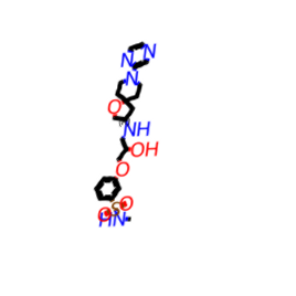 CNS(=O)(=O)c1cccc(OCC(O)CN[C@H]2COC3(CCN(c4cnccn4)CC3)C2)c1